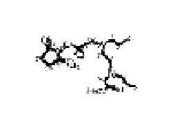 CCCN(CCN(CCC)CC(=O)ON1C(=O)CCC1=O)CC(=O)O